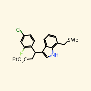 CCOC(=O)CC(c1ccc(Cl)cc1F)c1c[nH]c2c(CSC)cccc12